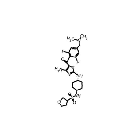 CN(C)Cc1cc(F)c(C(=O)c2sc(N[C@H]3CC[C@H](NS(=O)(=O)C4CCOC4)CC3)nc2N)c(F)c1